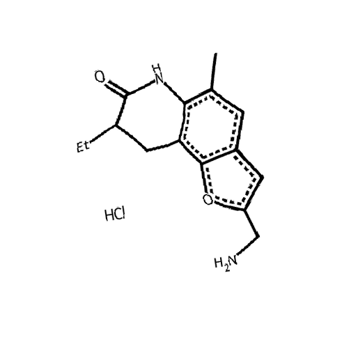 CCC1Cc2c(c(C)cc3cc(CN)oc23)NC1=O.Cl